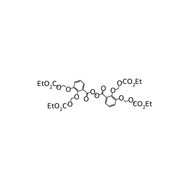 CCOC(=O)OCOc1cccc(C(=O)OOC(=O)c2cccc(OCOC(=O)OCC)c2OCOC(=O)OCC)c1OCOC(=O)OCC